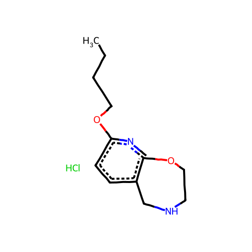 CCCCOc1ccc2c(n1)OCCNC2.Cl